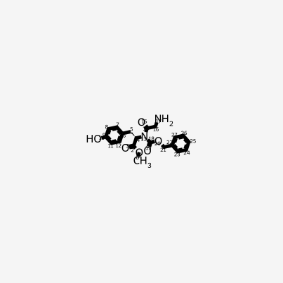 COC(=O)[C@H](Cc1ccc(O)cc1)N(C(=O)CN)C(=O)OCc1ccccc1